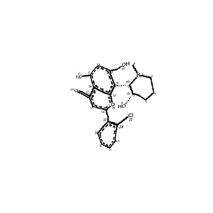 CN1CCC[C@H](O)[C@@H]1c1c(O)cc(O)c2c(=O)cc(-c3ccccc3Cl)oc12